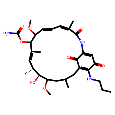 CCCNC1=C2CC(C)CC(OC)[C@@H](O)[C@H](C)/C=C(\C)C(OC(N)=O)C(OC)/C=C/C=C(/C)C(=O)NC(=CC1=O)C2=O